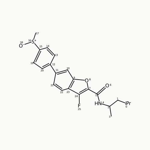 CC(C)CC(C)NC(=O)c1oc2cc(-c3ccc([S+](C)[O-])cc3)ccc2c1F